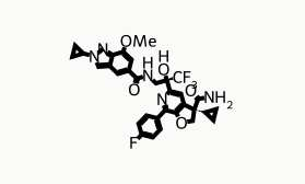 COc1cc(C(=O)NC[C@](O)(c2cc3c(c(-c4ccc(F)cc4)n2)OC[C@@]3(C(N)=O)C2CC2)C(F)(F)F)cc2cn(C3CC3)nc12